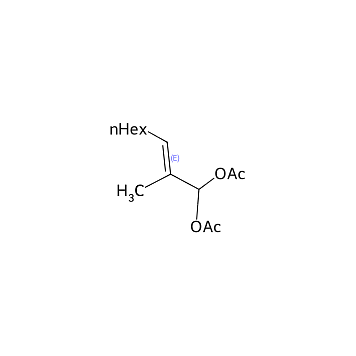 CCCCCC/C=C(\C)C(OC(C)=O)OC(C)=O